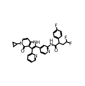 O=C(Nc1cc(-c2[nH]c3ccn(C4CC4)c(=O)c3c2-c2ccccn2)ccn1)C(CC(F)F)c1ccc(F)cc1